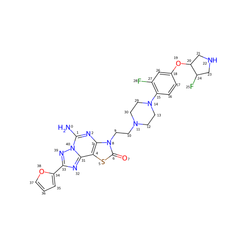 Nc1nc2c(sc(=O)n2CCN2CCN(c3ccc(OC4CNCC4F)cc3F)CC2)c2nc(-c3ccco3)nn12